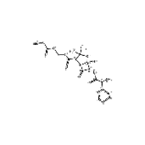 CCCCOC(=O)OCOC(=O)[C@@H]1N2C(=O)[C@@H](NC(=O)C(N)c3ccccc3)[C@H]2SC1(C)C